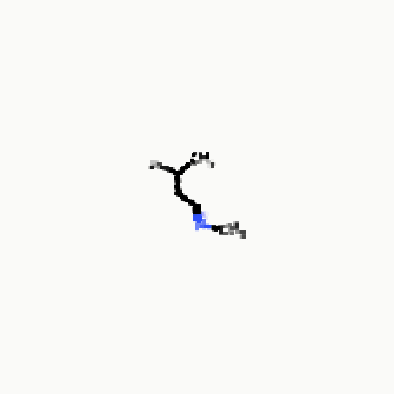 CCC(C)C/C=N/C